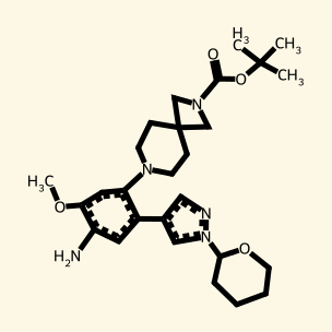 COc1cc(N2CCC3(CC2)CN(C(=O)OC(C)(C)C)C3)c(-c2cnn(C3CCCCO3)c2)cc1N